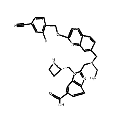 CCN(Cc1ccc2ccc(OCc3ccc(C#N)cc3F)nc2c1)Cc1nc2ccc(C(=O)O)cc2n1C[C@@H]1CCN1